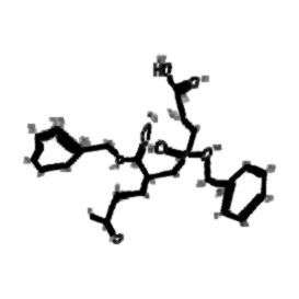 CC(=O)CCC(CP(=O)(CCC(=O)O)OCc1ccccc1)C(=O)OCc1ccccc1